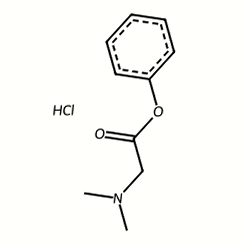 CN(C)CC(=O)Oc1ccccc1.Cl